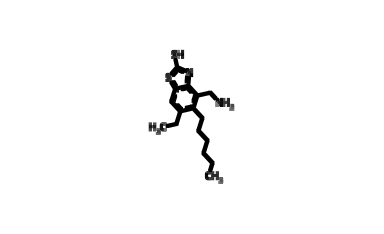 CCCCCCc1c(CC)cc2sc(S)nc2c1CN